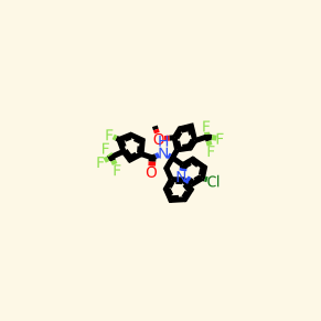 COc1ccc(C(F)(F)F)cc1C(Cc1ccccc1)(NC(=O)c1ccc(F)c(C(F)(F)F)c1)c1ccc(Cl)cn1